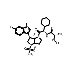 CN[C@@H](C)C(=O)N[C@H](C(=O)N1CC[C@@H]2[C@H]1[C@H](c1c[nH]c3cc(F)ccc13)CN2S(C)(=O)=O)C1CCCCC1